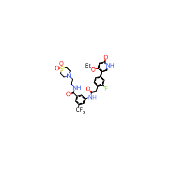 CCOc1cc(=O)[nH]cc1-c1ccc(CC(=O)Nc2cc(C(=O)NCCN3CCS(=O)(=O)CC3)cc(C(F)(F)F)c2)c(F)c1